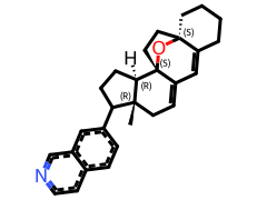 C[C@]12CC=C3C=C4CCCC[C@]45CC[C@]3(O5)[C@@H]1CCC2c1ccc2ccncc2c1